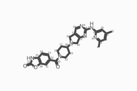 Cc1cc(C)nc(Nc2ncc3c(n2)CN(C2CCN(C(=O)c4ccc5[nH]c(=O)oc5c4)CC2)C3)c1